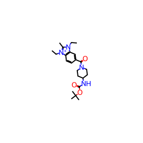 CCn1c(C)[n+](CC)c2ccc(C(=O)N3CCC(NC(=O)OC(C)(C)C)CC3)cc21